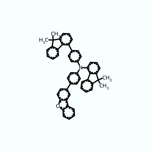 CC1(C)c2ccccc2-c2c(-c3ccc(N(c4ccc(-c5ccc6oc7ccccc7c6c5)cc4)c4cccc5c4-c4ccccc4C5(C)C)cc3)cccc21